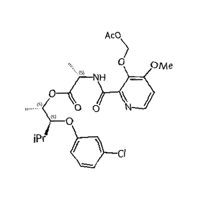 COc1ccnc(C(=O)N[C@@H](C)C(=O)O[C@@H](C)[C@@H](Oc2cccc(Cl)c2)C(C)C)c1OCOC(C)=O